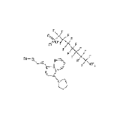 CCOCOc1ccc([S+]2CCCC2)c2ccccc12.O=S(=O)([O-])C(F)(F)C(F)(F)C(F)(F)C(F)(F)C(F)(F)C(F)(F)C(F)(F)C(F)(F)F